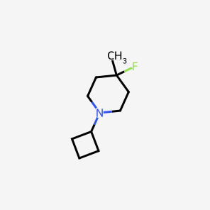 CC1(F)CCN(C2CCC2)CC1